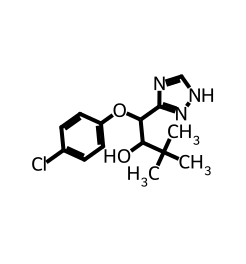 CC(C)(C)C(O)C(Oc1ccc(Cl)cc1)c1nc[nH]n1